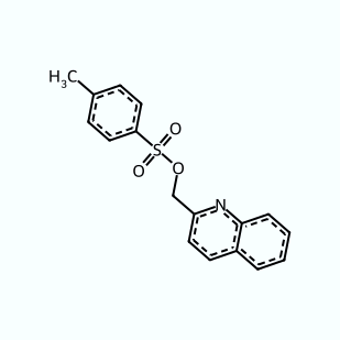 Cc1ccc(S(=O)(=O)OCc2ccc3ccccc3n2)cc1